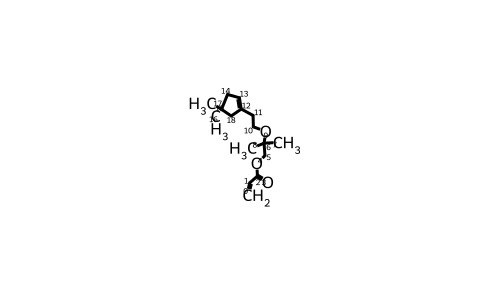 C=CC(=O)OCC(C)(C)OCCC1=CCC(C)(C)C1